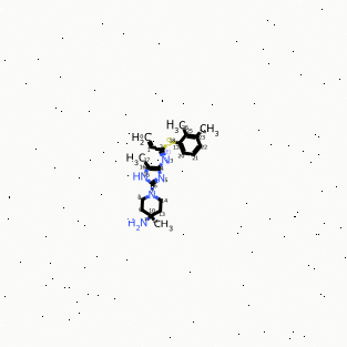 C=C/C(=N\c1nc(N2CCC(C)(N)CC2)[nH]c1C)Sc1cccc(C)c1C